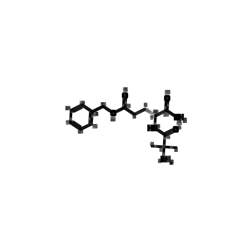 CC(C)(N)C(=O)N[C@H](CCC(=O)OCc1ccccc1)C(N)=O